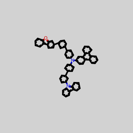 c1cc(-c2ccc(N(c3ccc(-c4cccc(-n5c6ccccc6c6ccccc65)c4)cc3)c3ccc4c5ccccc5c5ccccc5c4c3)cc2)cc(-c2ccc3c(c2)oc2ccccc23)c1